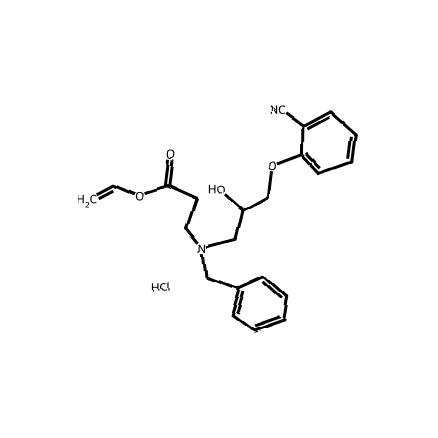 C=COC(=O)CCN(Cc1ccccc1)CC(O)COc1ccccc1C#N.Cl